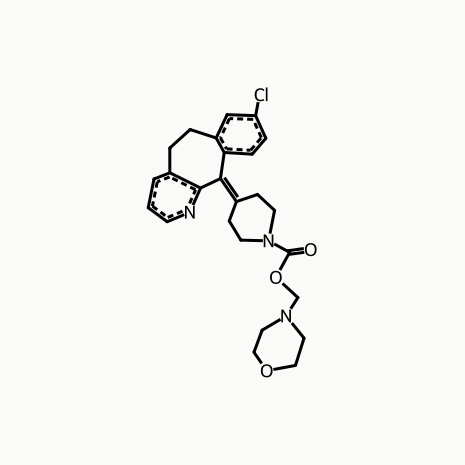 O=C(OCN1CCOCC1)N1CCC(=C2c3ccc(Cl)cc3CCc3cccnc32)CC1